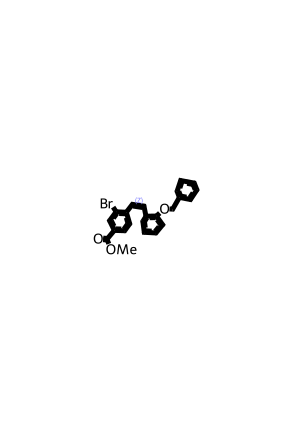 COC(=O)c1ccc(/C=C\c2ccccc2OCc2ccccc2)c(Br)c1